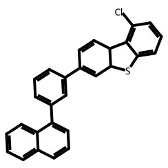 Clc1cccc2c1C1C=CC(c3cccc(-c4cccc5ccccc45)c3)=CC1S2